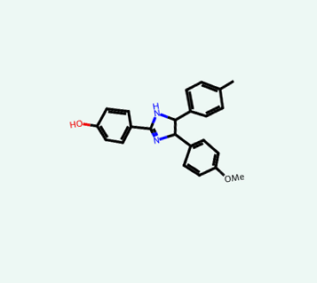 COc1ccc(C2N=C(c3ccc(O)cc3)NC2c2ccc(C)cc2)cc1